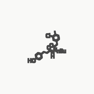 CCCCN(NC(=O)CCc1ccc(O)cc1)C(=O)Cc1ccc(C)c(Cl)c1